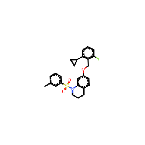 Cc1cccc(S(=O)(=O)N2CCCc3ccc(OCc4c(F)cccc4C4CC4)cc32)c1